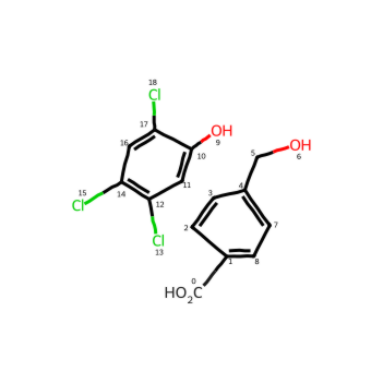 O=C(O)c1ccc(CO)cc1.Oc1cc(Cl)c(Cl)cc1Cl